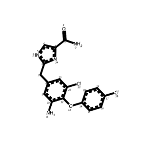 NC(=O)c1c[nH]c(Cc2cc(N)c(Oc3ccc(Cl)cc3)c(Cl)c2)n1